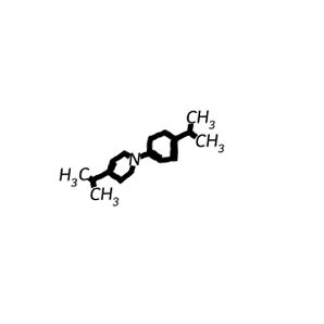 CC(C)C1=CC=C(N2CC=C(C(C)C)CC2)CC1